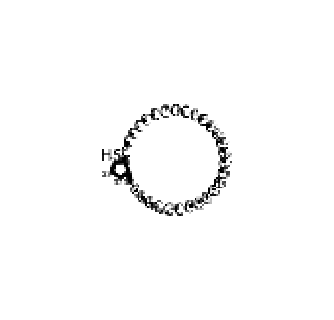 SC12CCCCCCCCCCCCCCCCCCCCCCCCCCCC/C=C/1CCC2